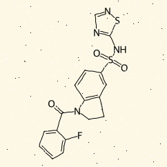 O=C(c1ccccc1F)N1CCc2cc(S(=O)(=O)Nc3ncns3)ccc21